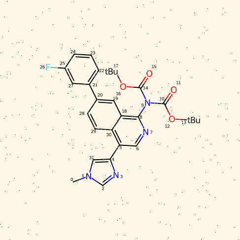 Cn1cnc(-c2cnc(N(C(=O)OC(C)(C)C)C(=O)OC(C)(C)C)c3cc(-c4cccc(F)c4)ccc23)c1